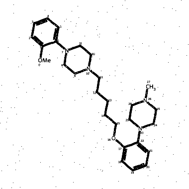 COc1ccccc1N1CCN(CCCCCOc2ccccc2N2CCN(C)CC2)CC1